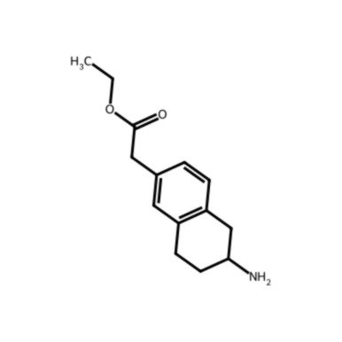 CCOC(=O)Cc1ccc2c(c1)CCC(N)C2